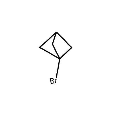 BrC12CC(C1)C2